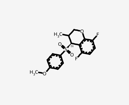 COc1ccc(S(=O)(=O)[C@@H]2c3c(F)ccc(F)c3OCC2C)cc1